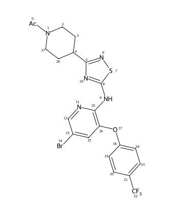 CC(=O)N1CCC(c2nsc(Nc3ncc(Br)cc3Oc3ccc(C(F)(F)F)cc3)n2)CC1